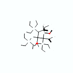 CC[Si](CC)(CC)OC(C(=O)O)(C(C(=O)O)[Si](CC)(CC)CC)C(C(=O)O)([Si](CC)(CC)CC)[Si](CC)(CC)CC